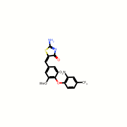 COc1cc(C=C2SC(N)=NC2=O)ccc1Oc1ccc(C(F)(F)F)cc1[N+](=O)[O-]